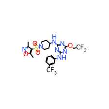 Cc1noc(C)c1S(=O)(=O)N1CCC(Nc2nc(Nc3cccc(C(F)(F)F)c3)nc(OCC(F)(F)F)n2)CC1